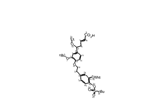 CCCCOc1cc(C(CC=CC(=O)O)OCC)ccc1OCCc1ccc(OS(=O)(=O)CCCC)c(OC)c1